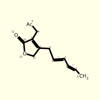 C/C=C/C=C/CC1=C(CC(C)=O)C(=O)OC1